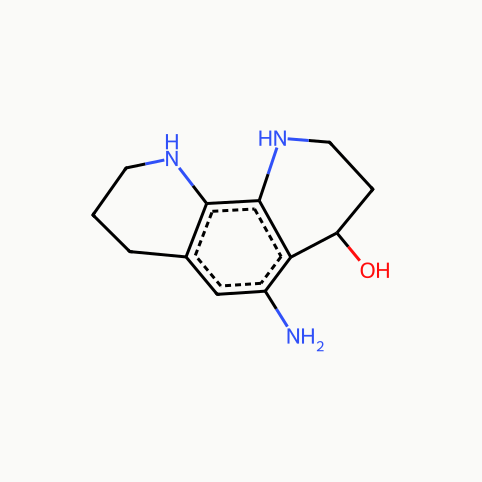 Nc1cc2c(c3c1C(O)CCN3)NCCC2